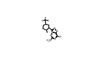 CC1CCC(C(F)(F)F)CC1c1nnc2c(Cl)nc(N)nn12